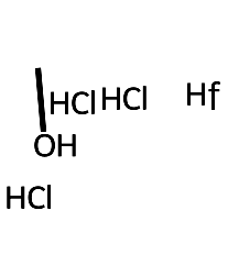 CO.Cl.Cl.Cl.[Hf]